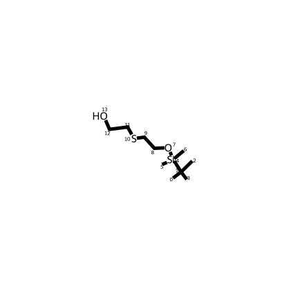 CC(C)(C)[Si](C)(C)OCCSCCO